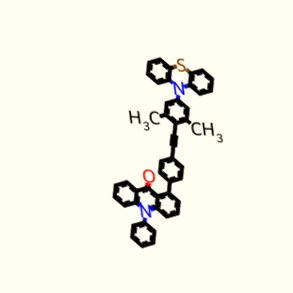 Cc1cc(N2c3ccccc3Sc3ccccc32)cc(C)c1C#Cc1ccc(-c2cccc3c2c(=O)c2ccccc2n3-c2ccccc2)cc1